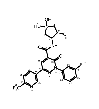 O=C(N[C@H]1CS(O)(O)C[C@H]1O)c1cc(-c2ccc(C(F)(F)F)nc2)nn(-c2cccc(F)c2)c1=O